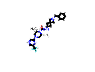 C[C@@H]1CN(c2cncc(C(F)(F)F)n2)C[C@H](C)N1C(=O)NC1CC2(C1)CN(Cc1ccccc1)C2